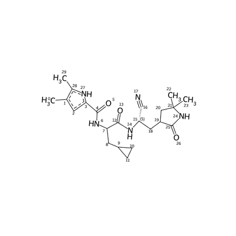 Cc1cc(C(=O)NC(CC2CC2)C(=O)N[C@H](C#N)CC2CC(C)(C)NC2=O)[nH]c1C